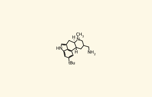 CN1CC(CN)C[C@@H]2c3cc(C(C)(C)C)cc4[nH]cc(c34)C[C@H]21